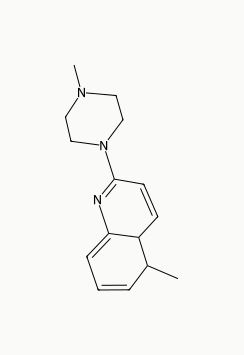 CC1C=CC=C2N=C(N3CCN(C)CC3)C=CC21